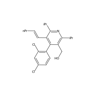 CCCC=Cc1c(C(C)C)nc(C(C)C)c(CO)c1-c1ccc(Cl)cc1Cl